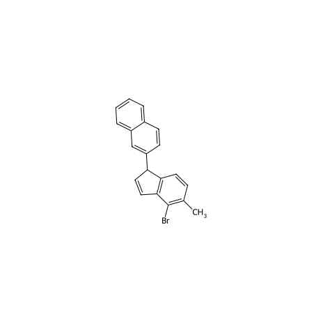 Cc1ccc2c(c1Br)C=CC2c1ccc2ccccc2c1